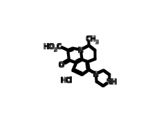 CC1CCc2c(N3CCNCC3)ccc3c(=O)c(C(=O)O)cn1c23.Cl